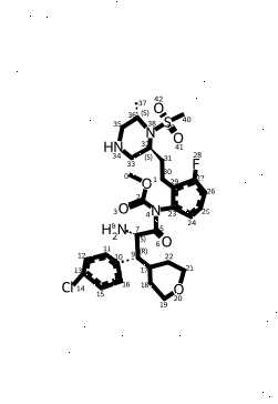 COC(=O)N(C(=O)[C@@H](N)[C@@H](c1ccc(Cl)cc1)C1CCOCC1)c1cccc(F)c1CC[C@H]1CNC[C@H](C)N1S(C)(=O)=O